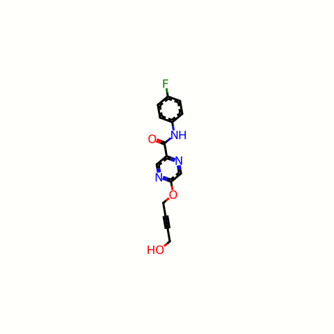 O=C(Nc1ccc(F)cc1)c1cnc(OCC#CCO)cn1